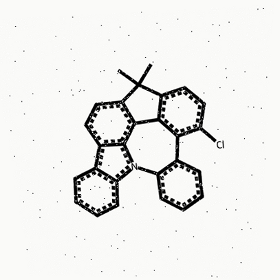 CC1(C)c2ccc(Cl)c3c2-c2c1ccc1c4ccccc4n(c21)-c1ccccc1-3